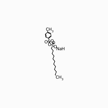 CCCCCCCCCCCCS(=O)(=O)OS(=O)(=O)c1ccc(C)cc1.[NaH]